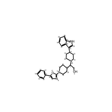 OCC(C1CCN(c2ncc(-c3ccccc3)o2)CC1)N1CCC(c2c[nH]c3ccccc23)CC1